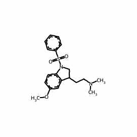 COc1ccc2c(c1)C(CCN(C)C)CN2S(=O)(=O)c1ccccc1